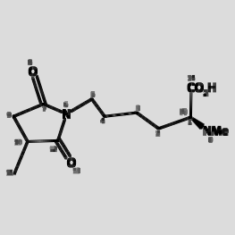 CN[C@@H](CCCCN1C(=O)CC(C)C1=O)C(=O)O